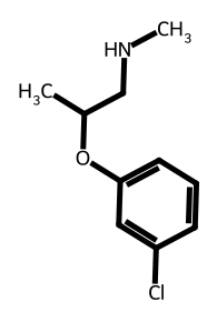 CNCC(C)Oc1cccc(Cl)c1